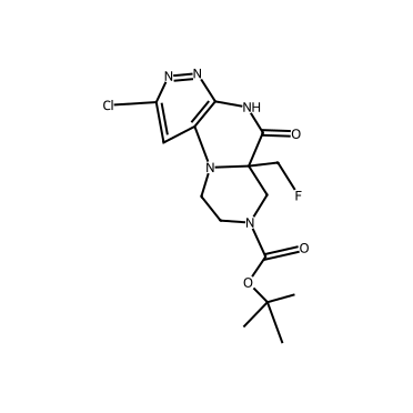 CC(C)(C)OC(=O)N1CCN2c3cc(Cl)nnc3NC(=O)C2(CF)C1